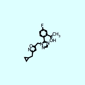 C[C@@H](O)c1cc(F)ccc1-c1ncnn1Cc1cc(CC2CC2)no1